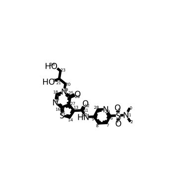 CN(C)S(=O)(=O)c1ccc(NC(=O)c2csc3ncn(CC(O)CO)c(=O)c23)cn1